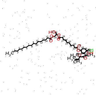 CCCCCCCCCCCCCCCCC(=O)OCC(CO)OC(=O)CCCCCCCCC(=O)O[C@@H]1CC[C@](O)(CCl)[C@@H]([C@@]2(C)OC2CC=C(C)C)[C@@H]1OC